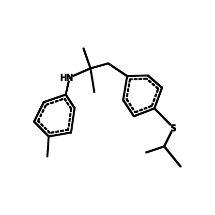 Cc1ccc(NC(C)(C)Cc2ccc(SC(C)C)cc2)cc1